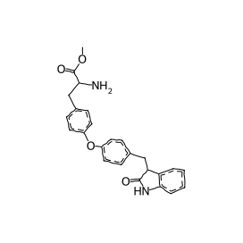 COC(=O)C(N)Cc1ccc(Oc2ccc(CC3C(=O)Nc4ccccc43)cc2)cc1